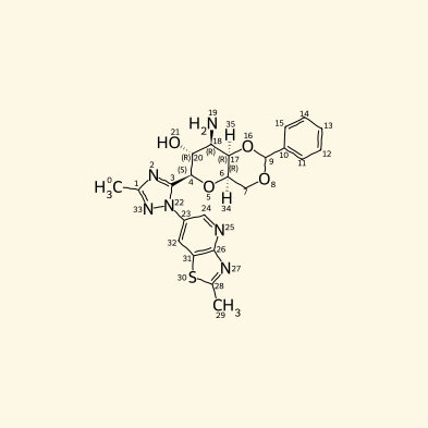 Cc1nc([C@@H]2O[C@@H]3COC(c4ccccc4)O[C@@H]3[C@H](N)[C@H]2O)n(-c2cnc3nc(C)sc3c2)n1